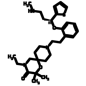 CCN1CC2(CCN(CCc3ccccc3O[C@H](CCNC)c3cccs3)CC2)OC(C)(C)C1=O